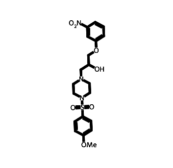 COc1ccc(S(=O)(=O)N2CCN(CC(O)COc3cccc([N+](=O)[O-])c3)CC2)cc1